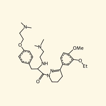 CCOc1cc(C2=NN(C(=O)C(Cc3ccc(OCCN(C)C)cc3)NCCN(C)C)CCC2)ccc1OC